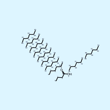 CCCC(=O)O.CCCCCC.CCCCCC.CCCCCC.CCCCCC.CCCCCC.CCCCCC.CCCCCC.CCCCCC.CCCCCC.CCCCCC